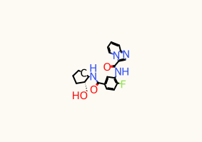 O=C(N[C@H]1CCCC[C@H]1CO)c1ccc(F)c(NC(=O)c2cnc3ccccn23)c1